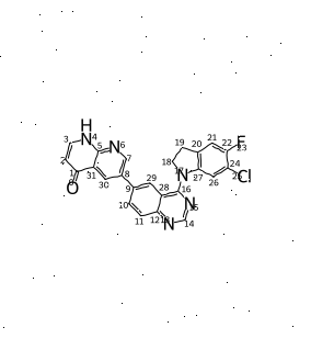 O=c1cc[nH]c2ncc(-c3ccc4ncnc(N5CCc6cc(F)c(Cl)cc65)c4c3)cc12